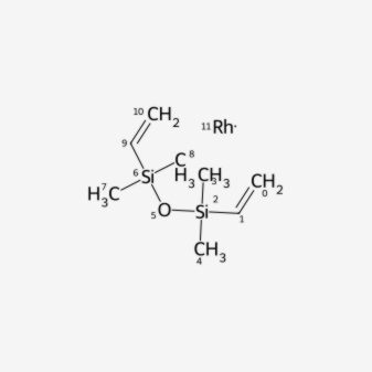 C=C[Si](C)(C)O[Si](C)(C)C=C.[Rh]